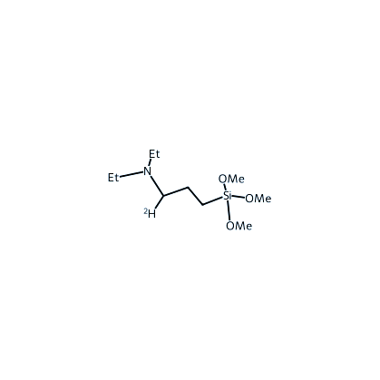 [2H]C(CC[Si](OC)(OC)OC)N(CC)CC